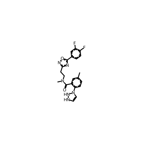 Cc1ccc(N2C=CNN2)c(C(=O)N(C)CCc2noc(-c3ccc(F)c(F)c3)n2)c1